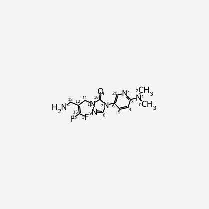 CN(C)c1ccc(-n2cnn(CC(CN)=C(F)F)c2=O)cn1